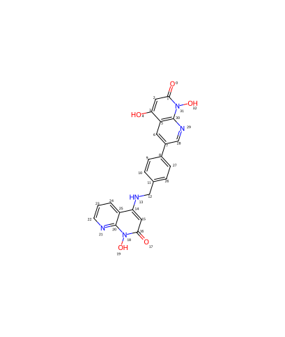 O=c1cc(O)c2cc(-c3ccc(CNc4cc(=O)n(O)c5ncccc45)cc3)cnc2n1O